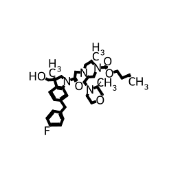 CCCCOC(=O)N1CC(CN2CCOC[C@H]2C)N(CC(=O)N2CC(C)(CO)c3ccc(Cc4ccc(F)cc4)cc32)CC1C